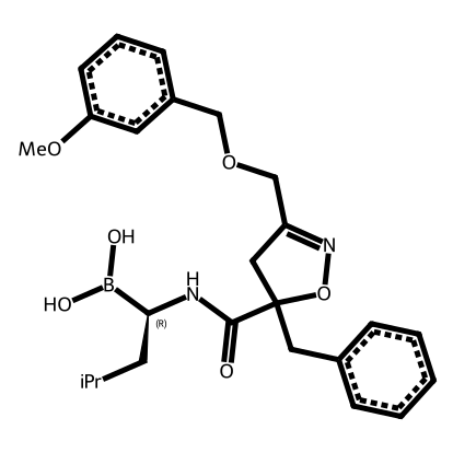 COc1cccc(COCC2=NOC(Cc3ccccc3)(C(=O)N[C@@H](CC(C)C)B(O)O)C2)c1